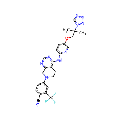 CC(C)(COc1ccc(Nc2ncnc3c2CCN(c2ccc(C#N)c(C(F)(F)F)c2)C3)nc1)n1cnnn1